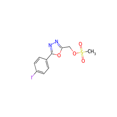 CS(=O)(=O)OCc1nnc(-c2ccc(I)cc2)o1